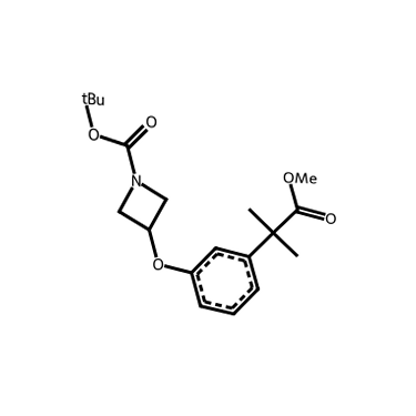 COC(=O)C(C)(C)c1cccc(OC2CN(C(=O)OC(C)(C)C)C2)c1